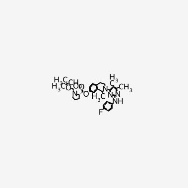 Cc1nc(Nc2ccc(F)cc2)nc(N2CCc3ccc(OC(=O)[C@@H]4CCCN4C(=O)OC(C)(C)C)cc3C2C)c1C